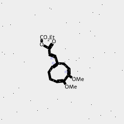 CCOC(=O)OC(=O)/C=C/C1=C/CCC=C(OC)/C(OC)=C\C1